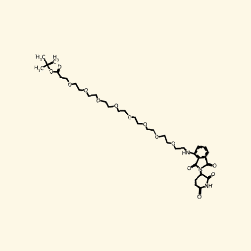 CC(C)(C)OC(=O)CCOCCOCCOCCOCCOCCOCCOCCOCCNc1cccc2c1C(=O)N(C1CCC(=O)NC1=O)C2=O